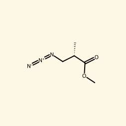 COC(=O)[C@@H](C)CN=[N+]=[N-]